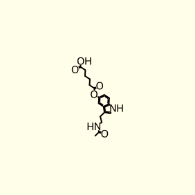 CC(=O)NCCc1c[nH]c2ccc(OC(=O)CCCCC(=O)O)cc12